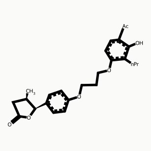 CCCc1c(OCCCOc2ccc([C@H]3OC(=O)C[C@H]3C)cc2)ccc(C(C)=O)c1O